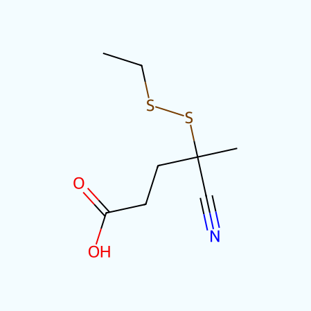 CCSSC(C)(C#N)CCC(=O)O